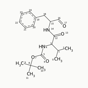 CC(C)C(NC(=O)OC(C)(C)C)C(=O)NC(C=O)Cc1ccccc1